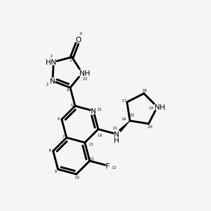 O=c1[nH]nc(-c2cc3cccc(F)c3c(N[C@H]3CCNC3)n2)[nH]1